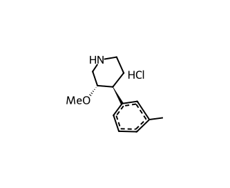 CO[C@@H]1CNCC[C@H]1c1cccc(C)c1.Cl